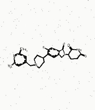 Cc1cc(CN2CCC(c3cc4c(cc3F)C(=O)N(C3CCC(=O)NC3=O)C4)CC2)cc(C)n1